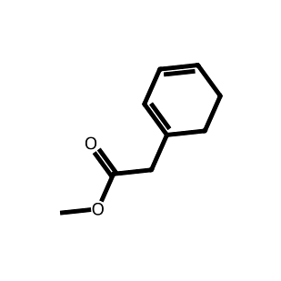 COC(=O)CC1=CC=CCC1